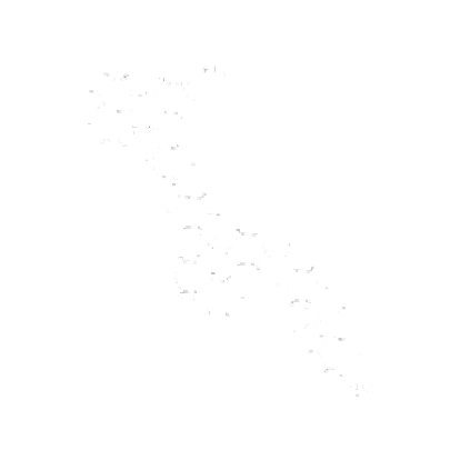 COc1ccc(N(c2ccc(-c3ccc(N(c4ccc(Oc5ccc(S(=O)(=O)c6ccc(C)cc6)cc5)cc4)c4cccc5ccccc45)cc3)cc2)c2cccc3ccccc23)cc1